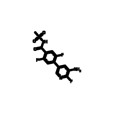 CS(=O)(=O)NC(=O)c1cc(F)c(-c2cnc(F)c(N)c2)cc1F